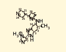 Cc1cc2[nH]c(-c3cncn3C)nc2cc1Nc1nc(-c2ccncc2)cs1